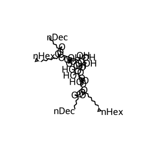 CCCCCCCCCCCCCCCC(=O)OC[C@H](COP(=O)(O)OCC1OC(OC2OC(COP(=O)(O)OC[C@@H](COC(=O)CCCCCCCCCCCCCCC)OC(=O)CCCCCCC[C@@H]3C[C@@H]3CCCCCC)C(O)C(O)C2O)C(O)C(O)C1O)OC(=O)CCCCCCC[C@@H]1C[C@@H]1CCCCCC